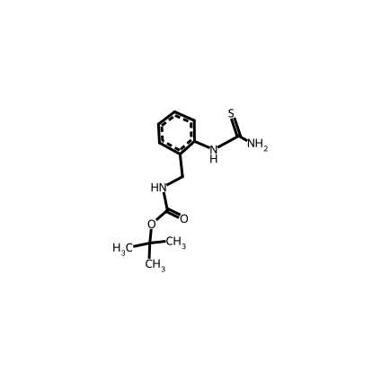 CC(C)(C)OC(=O)NCc1ccccc1NC(N)=S